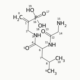 C=C(CNC(=O)C(CC(C)C)NC(=O)CN)P(=O)(O)O